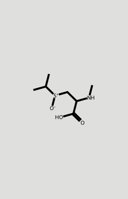 CNC(C[S+]([O-])C(C)C)C(=O)O